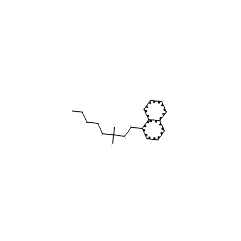 [CH2]CCCCC(F)(F)CCc1cccc2ccccc12